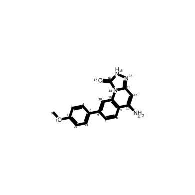 COc1ccc(-c2ccc3c(N)cc4n[nH]c(=O)n4c3c2)cc1